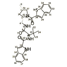 C[C@H]1C[C@@H](CNC(=O)[C@@H](NC(=O)c2cc3ccccc3[nH]2)C(C)(C)C)N(C(=O)c2cc3ccccc3s2)C1